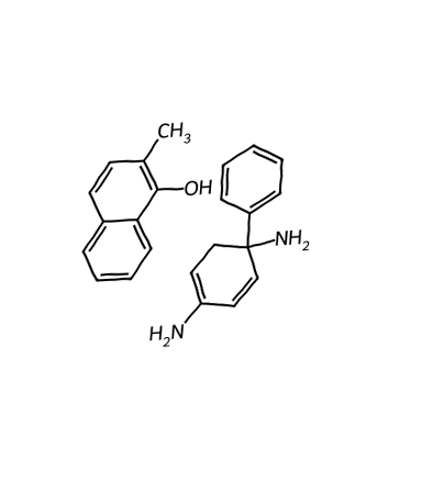 Cc1ccc2ccccc2c1O.NC1=CCC(N)(c2ccccc2)C=C1